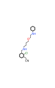 N#CCc1cccc(CNCCCCOCCNc2ccccc2)c1Cl